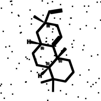 C=C[C@@]1(C)CC=C2[C@@H](CC[C@@H]3C(C)(C)CCC[C@@]23C)C1